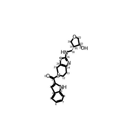 O=C(c1cc2ccccc2[nH]1)N1CCc2nc(NC[C@@H]3COC[C@@H]3O)sc2C1